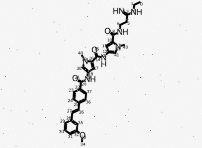 CCNC(=N)CCNC(=O)c1cc(NC(=O)c2cc(NC(=O)c3ccc(/C=C/c4cccc(OC)c4)cc3)cn2C)cn1C